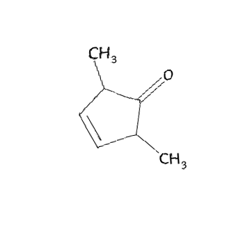 CC1C=CC(C)C1=O